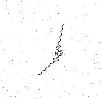 CCCCCCCCSSc1csc(SSCCCCCCCC)n1